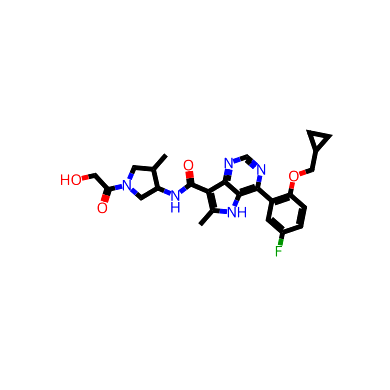 Cc1[nH]c2c(-c3cc(F)ccc3OCC3CC3)ncnc2c1C(=O)NC1CN(C(=O)CO)CC1C